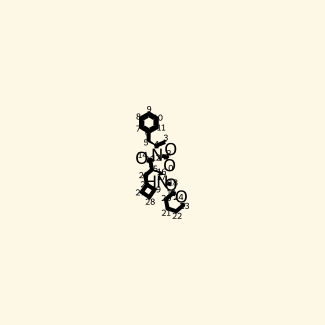 O=C1OC[C@H](Cc2ccccc2)N1C(=O)[C@@H](CNOC1CCCCO1)CC1CCC1